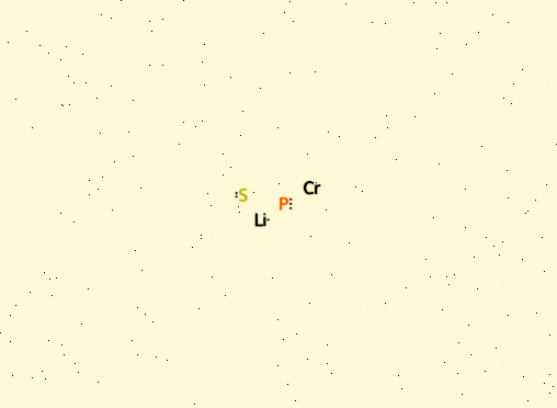 [Cr].[Li].[P].[S]